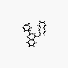 O=C(NC(Cc1ccc2ccccc2n1)c1ccccc1)c1ccccc1